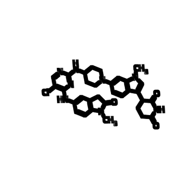 CN1C(=O)Cc2cc(Nc3nc(NC4CCN(c5ccc6c(C7CCC(=O)NC7=O)cn(C)c6c5)CC4)ncc3Cl)ccc21